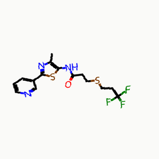 Cc1nc(-c2cccnc2)sc1NC(=O)CCSCCC(F)(F)F